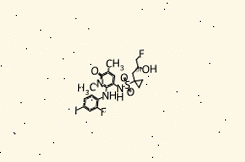 Cc1cc(NS(=O)(=O)C2(C[C@H](O)CF)CC2)c(Nc2ccc(I)cc2F)n(C)c1=O